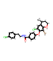 O=C(NCCc1ccc(Cl)cc1)c1ccc(Oc2c(Cl)cc3c(c2Br)OCC[CH]3[Na])cc1